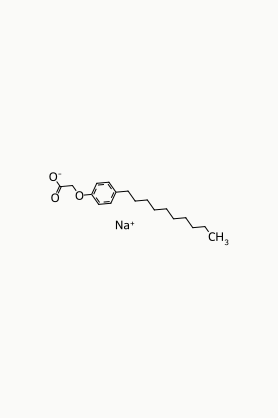 CCCCCCCCCCc1ccc(OCC(=O)[O-])cc1.[Na+]